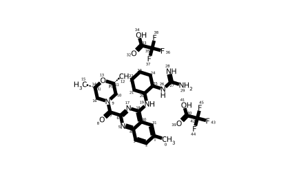 Cc1ccc2nc(C(=O)N3C[C@@H](C)O[C@@H](C)C3)nc(NC3CCCCC3NC(=N)N)c2c1.O=C(O)C(F)(F)F.O=C(O)C(F)(F)F